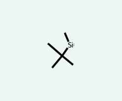 C[Si]C(C)(C)C